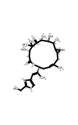 C/C1=C/C[C@@H](/C(C)=C/c2csc(CO)n2)OC(=O)C[C@H](O)C(C)(C)C(=O)[C@H](C)[C@@H](O)[C@@H](C)C2NC2C1